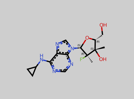 C[C@]1(O)[C@@H](CO)O[C@H](n2cnc3c(NC4CC4)ncnc32)[C@]1(C)F